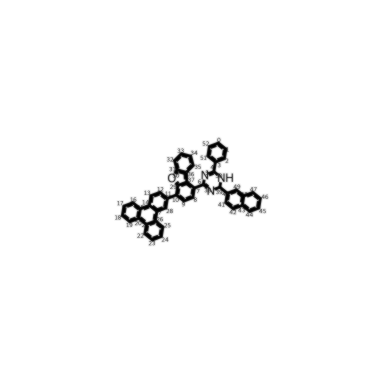 c1ccc(C2=NC(c3ccc(-c4ccc5c6ccccc6c6ccccc6c5c4)c4oc5ccccc5c34)=NC(c3ccc4ccccc4c3)N2)cc1